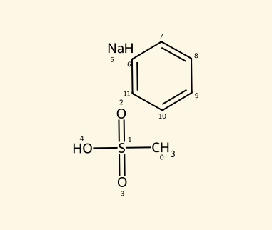 CS(=O)(=O)O.[NaH].c1ccccc1